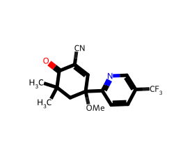 COC1(c2ccc(C(F)(F)F)cn2)C=C(C#N)C(=O)C(C)(C)C1